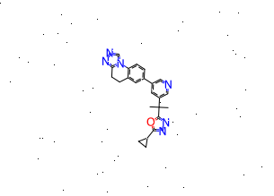 CC(C)(c1cncc(-c2ccc3c(c2)CCc2nncn2-3)c1)c1nnc(C2CC2)o1